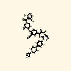 C\C=N/C(=N\C(=C(\C)CC)c1ccc(OC2CCN(C(=O)c3[nH]ncc3C)CC2F)c(C#N)c1)Nc1ccc(N2CCN(C3COC3)CC2)cc1